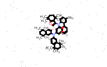 Cc1cc2c3c(c1)N(C1C=CC(C(C)(C)C)=CC1c1ccccc1)c1c(oc4c1C(C)(C)CCC4(C)C)B3c1cc3c(cc1N2c1ccc2c(c1)C(C)(C)CCC2(C)C)C(C)(C)CCC3(C)C